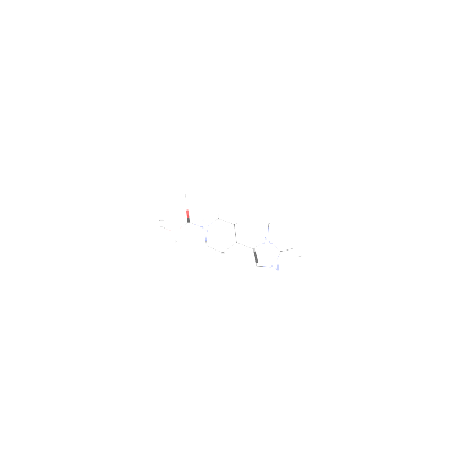 CN1C(C2CCN(C(=O)OC(C)(C)C)CC2)=CNC1S(=O)(=O)O